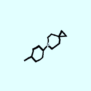 CC1CCC(N2CCC3(CC2)CC3)CC1